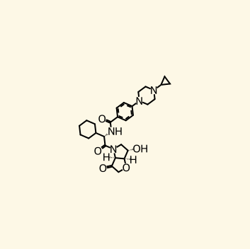 O=C(N[C@H](C(=O)N1C[C@H](O)[C@H]2OCC(=O)[C@H]21)C1CCCCC1)c1ccc(N2CCN(C3CC3)CC2)cc1